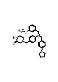 COc1cccc(CN(Cc2ccc(N3CCCC3)cc2)c2ccc(CN3CCNC(=O)C3)cc2)c1